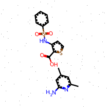 Cc1cc(C)nc(N)c1.O=C(O)c1sccc1NS(=O)(=O)c1ccccc1